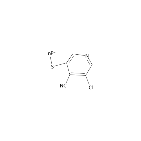 CCCSc1cncc(Cl)c1C#N